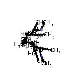 CCCCCC/C=C/CCCC(=O)O[C@H](CCCCCCC)CC(=O)NC(COCC[C@H](O)CCCCCCC)COP(=O)(O)OCCNC(=O)[C@H]1OC(C)(C)O[C@@H]1C(=O)NCCOP(=O)(O)OCC(COCC[C@H](O)CCCCCCC)NC(=O)C[C@H](CCCCCCCCCCC)OC(=O)CCC/C=C/CCCCCC